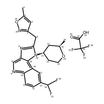 Cc1cc(Cc2nc3cnc4ccc(C(F)F)cc4c3n2[C@@H]2CCO[C@H](C)C2)no1.O=C(O)C(F)(F)F